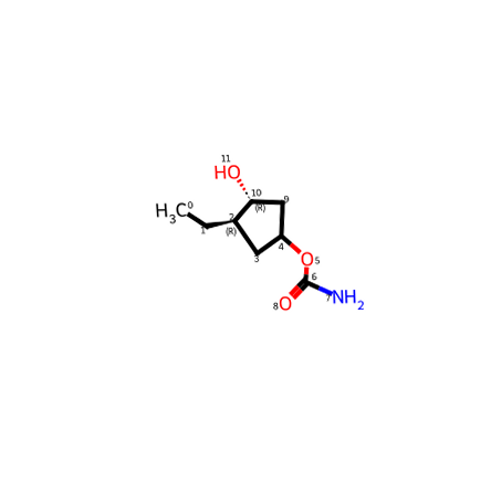 CC[C@@H]1CC(OC(N)=O)C[C@H]1O